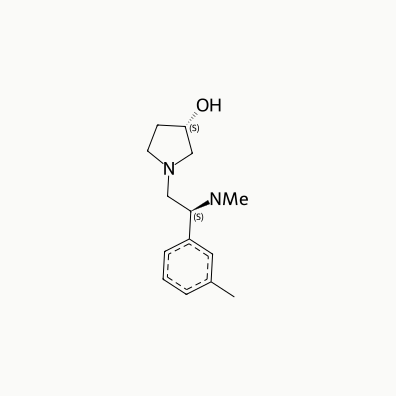 CN[C@H](CN1CC[C@H](O)C1)c1cccc(C)c1